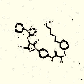 CCCCCCCCCCCCCCCc1cccc(OC(CC)C(=O)Nc2ccc(N3N=C(OCC)C(Sc4nnnn4-c4ccccc4)C3=O)cc2)c1